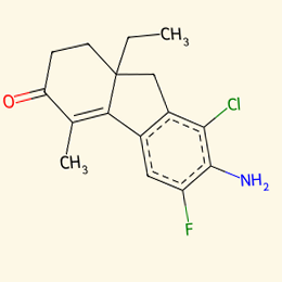 CCC12CCC(=O)C(C)=C1c1cc(F)c(N)c(Cl)c1C2